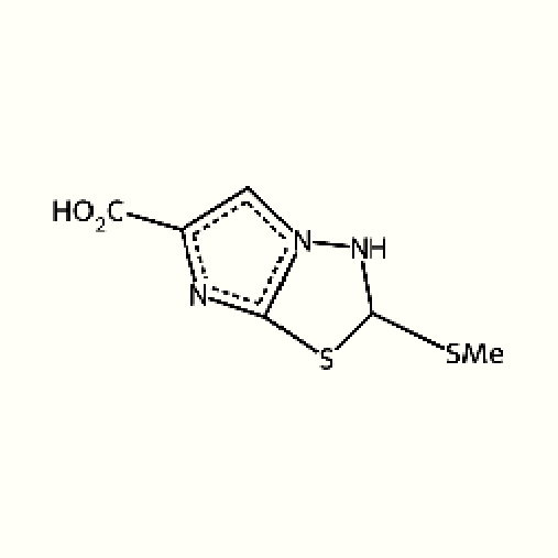 CSC1Nn2cc(C(=O)O)nc2S1